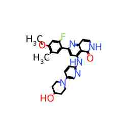 COc1cc(F)c(-c2cc(Nc3ccc(N4CCC(O)CC4)cn3)c3c(=O)[nH]ccc3n2)cc1C